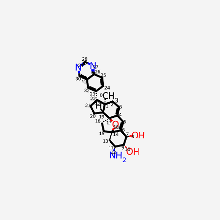 C[C@]12CC=C3C=C4[C@@H](O)[C@H](O)[C@@H](N)C[C@]45CC[C@]3(O5)[C@@H]1CC[C@@H]2c1ccc2ncncc2c1